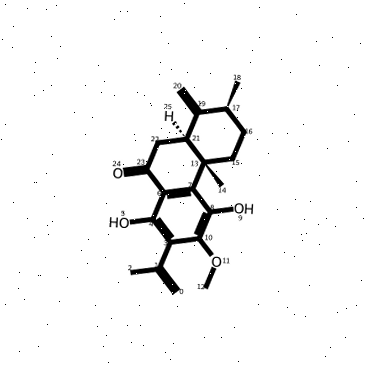 C=C(C)c1c(O)c2c(c(O)c1OC)[C@@]1(C)CC[C@H](C)C(=C)[C@@H]1CC2=O